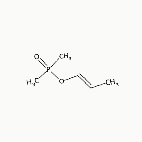 CC=COP(C)(C)=O